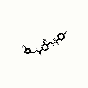 Cc1ncc(CNC(=O)c2cnc(CNS(=O)(=O)c3ccc(F)cc3)c(C)n2)s1